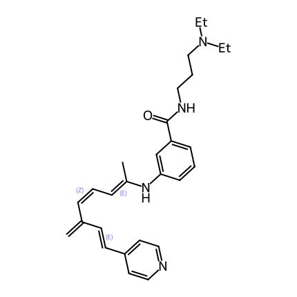 C=C(/C=C\C=C(/C)Nc1cccc(C(=O)NCCCN(CC)CC)c1)/C=C/c1ccncc1